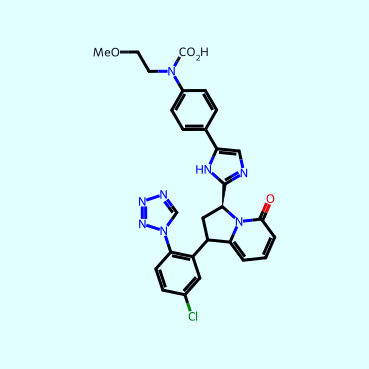 COCCN(C(=O)O)c1ccc(-c2cnc([C@@H]3CC(c4cc(Cl)ccc4-n4cnnn4)c4cccc(=O)n43)[nH]2)cc1